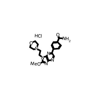 COc1nc2ncc(-c3ccc(C(N)=O)cc3)nc2n1CCN1CCOCC1.Cl